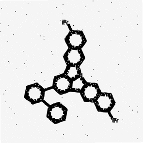 CC(C)c1ccc2cc3c(cc2c1)c1cc(-c2ccccc2-c2ccccc2)cc2c4cc5cc(C(C)C)ccc5cc4n3c12